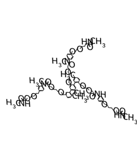 CNC(=O)CCCOCCOc1ccc(N(C)C(=O)CCOCCCOc2cc(-c3cc(COCCCOCC(=O)N(C)c4ccc(CCOCCOCC(=O)NC)cc4)ccc3C)c(C)cc2-c2cc(C)ccc2COCCOCC(=O)Nc2ccc(OCCCCOCC(=O)NC)cc2)cc1